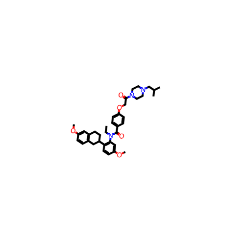 CCN(C(=O)c1ccc(OCC(=O)N2CCN(CC(C)C)CC2)cc1)c1cc(OC)ccc1C1CCc2cc(OC)ccc2C1